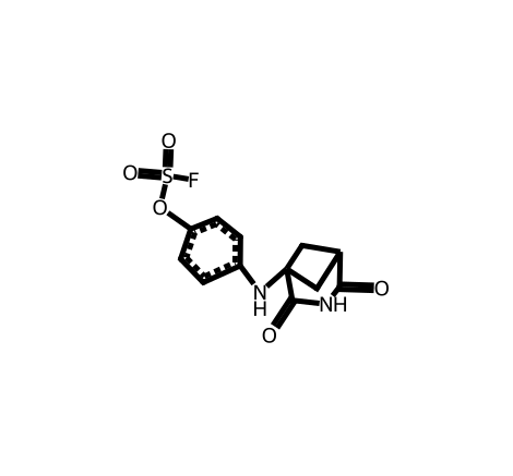 O=C1NC(=O)C2(Nc3ccc(OS(=O)(=O)F)cc3)CC1C2